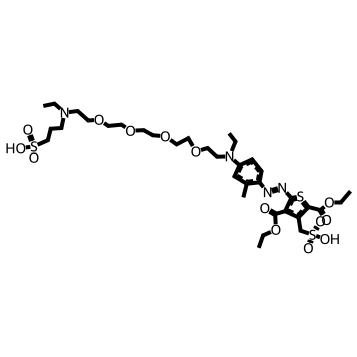 CCOC(=O)c1sc(/N=N/c2ccc(N(CC)CCOCCOCCOCCOCCN(CC)CCCS(=O)(=O)O)cc2C)c(C(=O)OCC)c1CS(=O)(=O)O